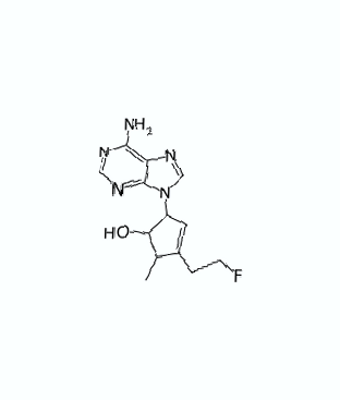 CC1C(CCF)=CC(n2cnc3c(N)ncnc32)C1O